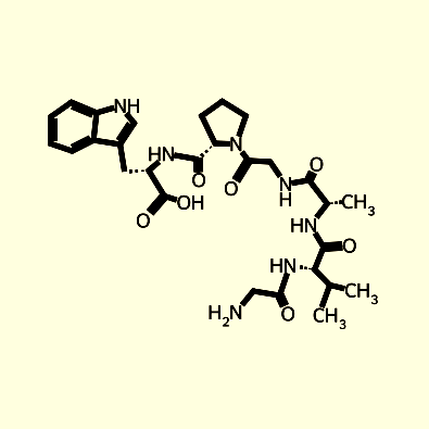 CC(C)[C@H](NC(=O)CN)C(=O)N[C@@H](C)C(=O)NCC(=O)N1CCC[C@H]1C(=O)N[C@@H](Cc1c[nH]c2ccccc12)C(=O)O